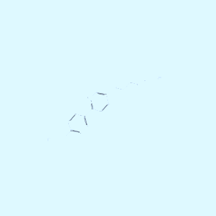 CCCCCCCCc1ccc(-c2ccc(OCCOCCCCCCC)cn2)cc1